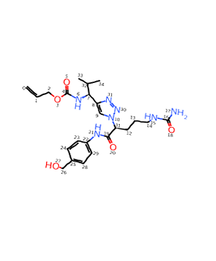 C=CCOC(=O)N[C@H](c1cn([C@@H](CCCNC(N)=O)C(=O)Nc2ccc(CO)cc2)nn1)C(C)C